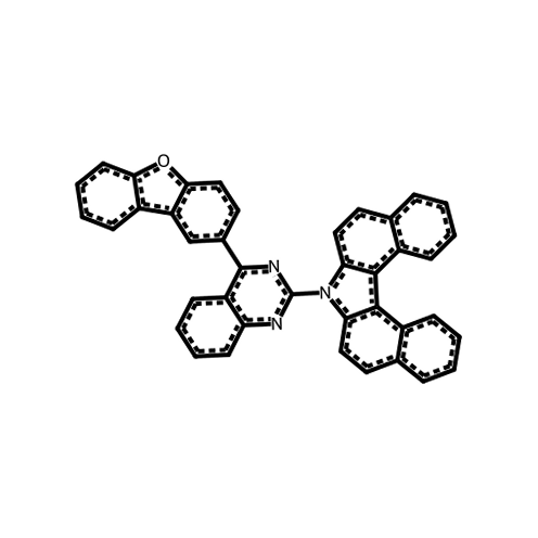 c1ccc2c(c1)ccc1c2c2c3ccccc3ccc2n1-c1nc(-c2ccc3oc4ccccc4c3c2)c2ccccc2n1